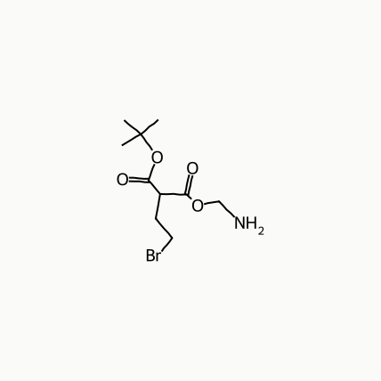 CC(C)(C)OC(=O)C(CCBr)C(=O)OCN